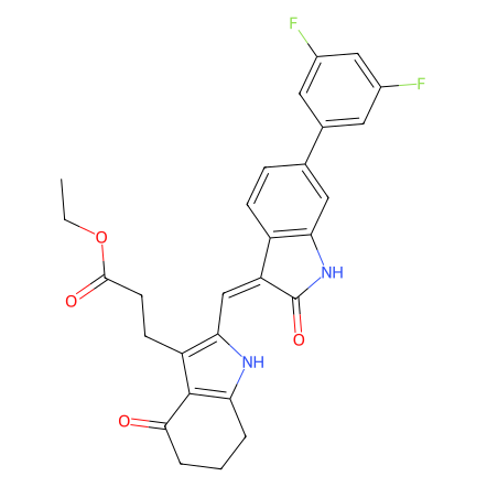 CCOC(=O)CCc1c(C=C2C(=O)Nc3cc(-c4cc(F)cc(F)c4)ccc32)[nH]c2c1C(=O)CCC2